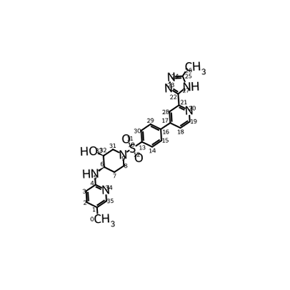 Cc1ccc(N[C@@H]2CCN(S(=O)(=O)c3ccc(-c4ccnc(-c5nnc(C)[nH]5)c4)cc3)C[C@@H]2O)nc1